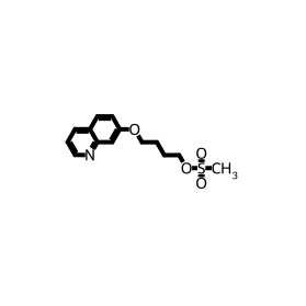 CS(=O)(=O)OCCCCOc1ccc2cccnc2c1